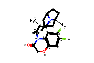 CCCCCC1CC2CC[C@@H](C1)N2C[C@@H](C)CN1C(=O)COc2cc(F)c(F)cc21